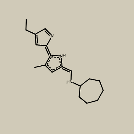 CCC1=CC(=c2[nH]c(=CNC3CCCCCC3)cc2C)N=C1